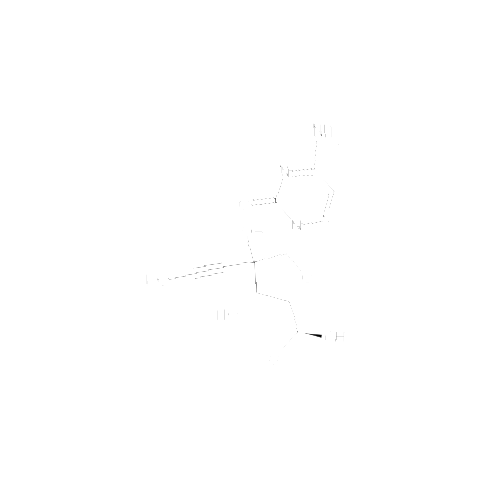 CC#CC1(O)[C@@H](O)[C@@H]([C@@H](C)O)O[C@H]1n1ncc(N)nc1=O